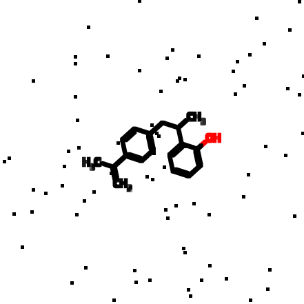 C=C(C)c1ccc(CC(C)c2ccccc2O)cc1